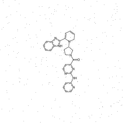 O=C(c1ccnc(Nc2ccccn2)n1)N1CCC(N2CC=CC=C2c2nc3ccccc3[nH]2)C1